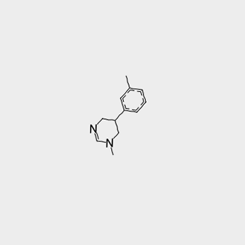 Cc1cccc(C2CN=CN(C)C2)c1